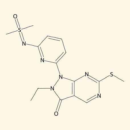 CCn1c(=O)c2cnc(SC)nc2n1-c1cccc(N=S(C)(C)=O)n1